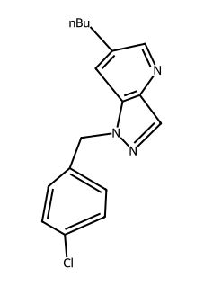 CCCCc1cnc2cnn(Cc3ccc(Cl)cc3)c2c1